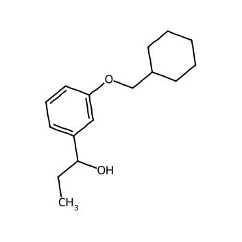 CCC(O)c1cccc(OCC2CCCCC2)c1